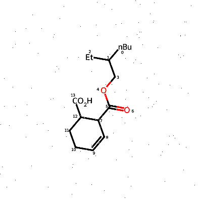 CCCCC(CC)COC(=O)C1C=CCCC1C(=O)O